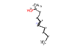 CCCC/C=C/CCC(C)O